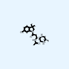 CC(=O)NC(CC(=O)N1CC(C)(C)c2ccc(Cl)cc21)[C@H]1CN[C@H](C)CN1